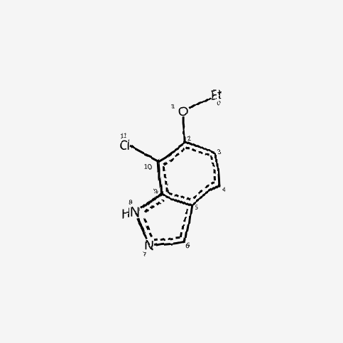 CCOc1ccc2cn[nH]c2c1Cl